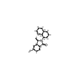 C=C1c2cc(F)ccc2C(=O)N1c1cccc2cccnc12